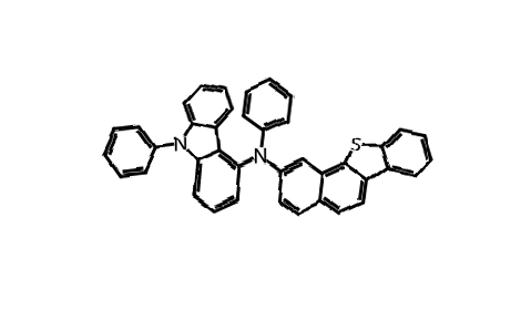 c1ccc(N(c2ccc3ccc4c5ccccc5sc4c3c2)c2cccc3c2c2ccccc2n3-c2ccccc2)cc1